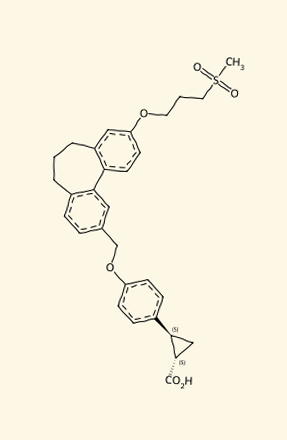 CS(=O)(=O)CCCOc1ccc2c(c1)CCCc1ccc(COc3ccc([C@H]4C[C@@H]4C(=O)O)cc3)cc1-2